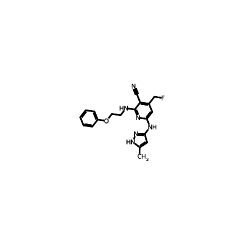 Cc1cc(Nc2cc(CF)c(C#N)c(NCCOc3ccccc3)n2)n[nH]1